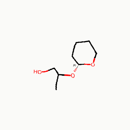 CC(CO)O[C@@H]1CCCCO1